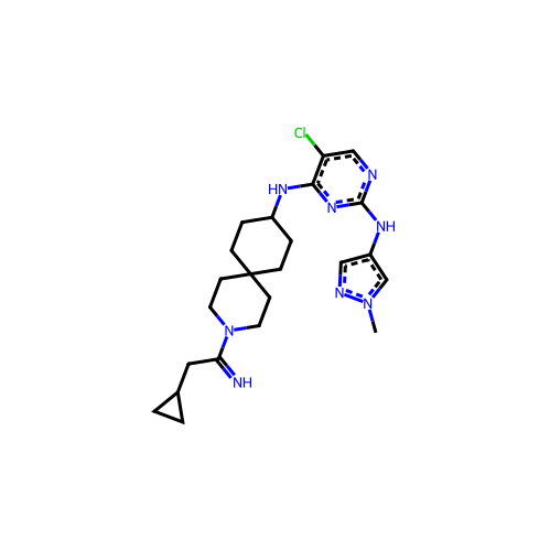 Cn1cc(Nc2ncc(Cl)c(NC3CCC4(CC3)CCN(C(=N)CC3CC3)CC4)n2)cn1